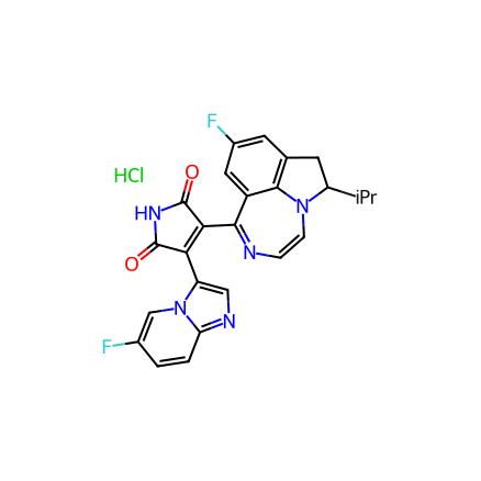 CC(C)C1Cc2cc(F)cc3c2N1C=CN=C3C1=C(c2cnc3ccc(F)cn23)C(=O)NC1=O.Cl